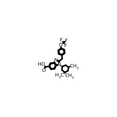 CC1C[C@@H](n2c(Cc3ccc(OC(F)(F)F)cc3)nc3cc(C(=O)O)ccc32)CC(C)(C)C1